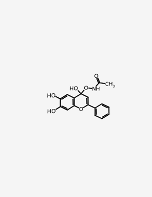 CC(=O)NOC1(O)C=C(c2ccccc2)Oc2cc(O)c(O)cc21